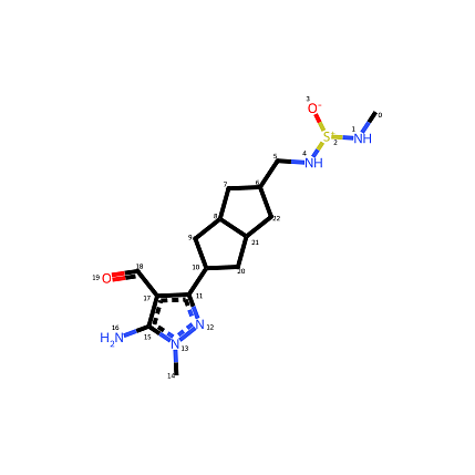 CN[S+]([O-])NCC1CC2CC(c3nn(C)c(N)c3C=O)CC2C1